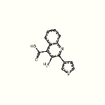 Cc1c(-c2ccsc2)nc2ccccc2c1C(=O)O